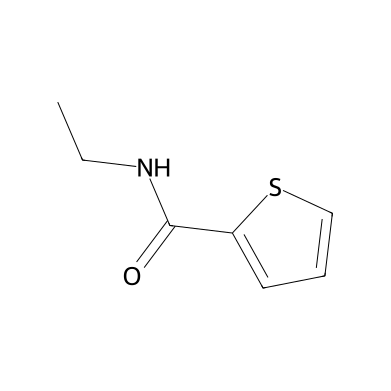 CCNC(=O)c1cccs1